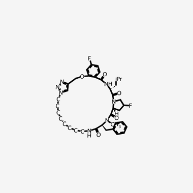 CC(C)C[C@H]1NC(=O)c2ccc(F)cc2OCc2cn(nn2)CCCCCCCCNC(=O)[C@H](Cc2ccccc2)N(C)C(=O)[C@H]2CC(F)CN2C1=O